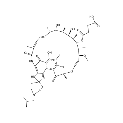 CO[C@H]1/C=C/O[C@@]2(C)Oc3c(C)c(O)c4c(c3C2=O)C2=NC3(CCN(CC(C)C)CC3)NC2=C(NC(=O)/C(C)=C\C=C\[C@H](C)[C@H](O)[C@@H](C)[C@@H](O)[C@@H](C)[C@H](OC(=O)CCC(=O)O)[C@@H]1C)C4=O